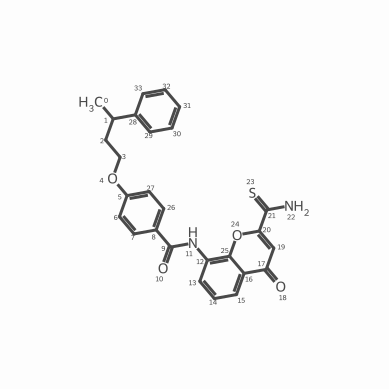 CC(CCOc1ccc(C(=O)Nc2cccc3c(=O)cc(C(N)=S)oc23)cc1)c1ccccc1